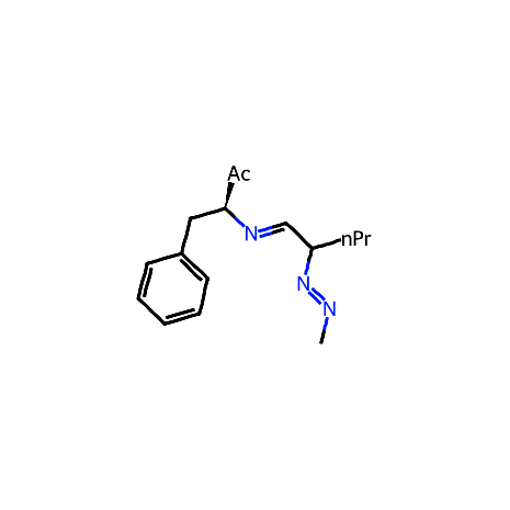 CCCC(/C=N/[C@@H](Cc1ccccc1)C(C)=O)/N=N/C